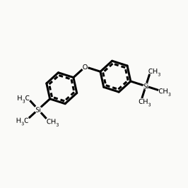 C[Si](C)(C)c1ccc(Oc2ccc([Si](C)(C)C)cc2)cc1